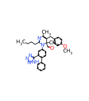 CCCCC1=NC(C)=C(Cc2ccc(OC)cc2)C(C)(C=O)N1c1ccc(-c2ccccc2)c(-c2nnn[nH]2)c1